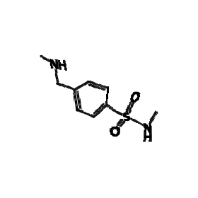 CNCc1ccc(S(=O)(=O)NC)cc1